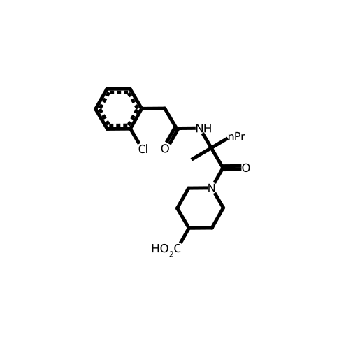 CCCC(C)(NC(=O)Cc1ccccc1Cl)C(=O)N1CCC(C(=O)O)CC1